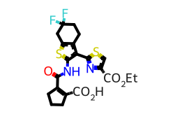 CCOC(=O)c1csc(-c2c(NC(=O)C3=C(C(=O)O)CCC3)sc3c2CCC(F)(F)C3)n1